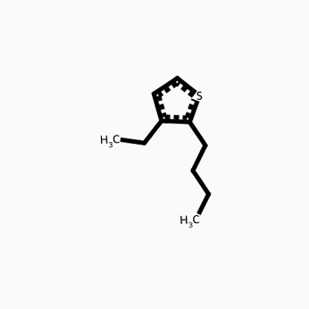 CCCCc1sccc1CC